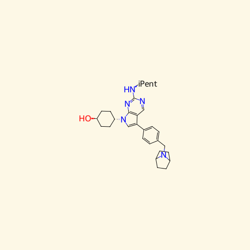 CCC[C@H](C)Nc1ncc2c(-c3ccc(CN4C5CCC4CC5)cc3)cn([C@H]3CC[C@H](O)CC3)c2n1